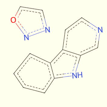 c1ccc2c(c1)[nH]c1cnccc12.c1conn1